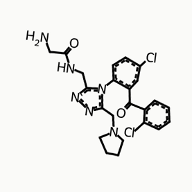 NCC(=O)NCc1nnc(CN2CCCC2)n1-c1ccc(Cl)cc1C(=O)c1ccccc1Cl